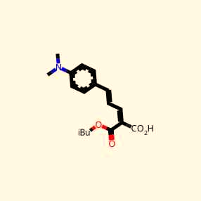 CCC(C)OC(=O)C(=CC=Cc1ccc(N(C)C)cc1)C(=O)O